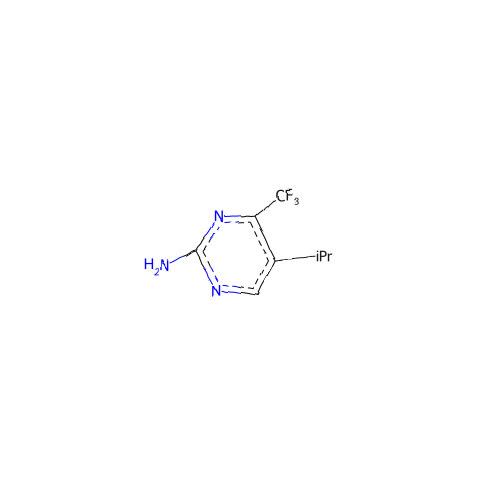 CC(C)c1cnc(N)nc1C(F)(F)F